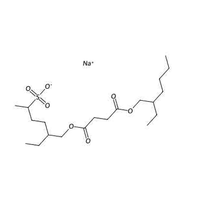 CCCCC(CC)COC(=O)CCC(=O)OCC(CC)CCC(C)S(=O)(=O)[O-].[Na+]